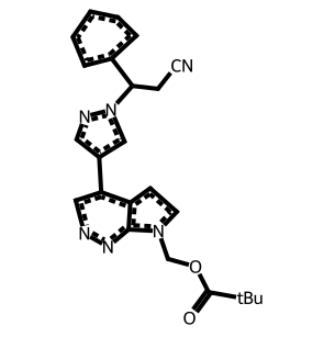 CC(C)(C)C(=O)OCn1ccc2c(-c3cnn(C(CC#N)c4ccccc4)c3)cnnc21